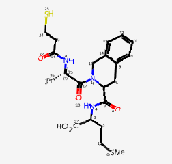 CSCCC(NC(=O)C1Cc2ccccc2CN1C(=O)[C@@H](NC(=O)CCS)C(C)C)C(=O)O